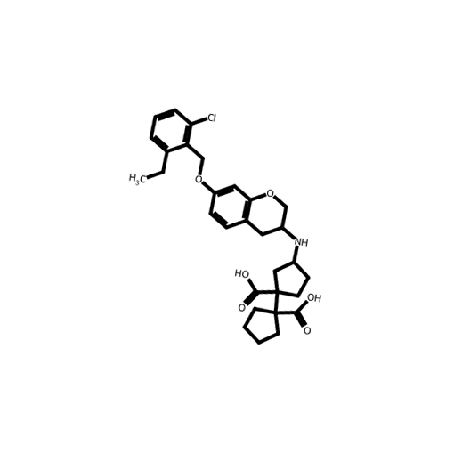 CCc1cccc(Cl)c1COc1ccc2c(c1)OCC(NC1CCC(C(=O)O)(C3(C(=O)O)CCCC3)C1)C2